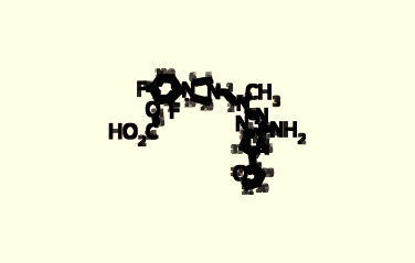 CN(CCN1CCN(c2ccc(F)c(OCC(=O)O)c2F)CC1)c1nc(N)n2nc(-c3ccco3)cc2n1